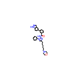 O=C(Nc1nc(CCCCCCN2CCOCC2)cn1-c1ccccc1)c1cccc(-c2ccc3[nH]ncc3c2)c1